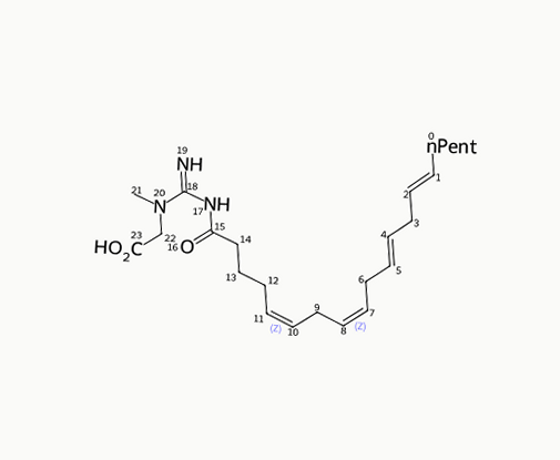 CCCCCC=CCC=CC/C=C\C/C=C\CCCC(=O)NC(=N)N(C)CC(=O)O